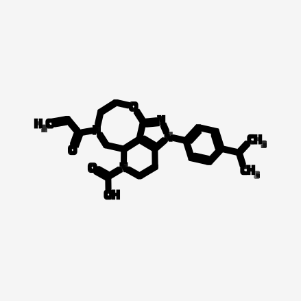 C=CC(=O)N1CCOc2nn(-c3ccc(C(C)C)cc3)c3c2C(C1)N(C(=O)O)CC3